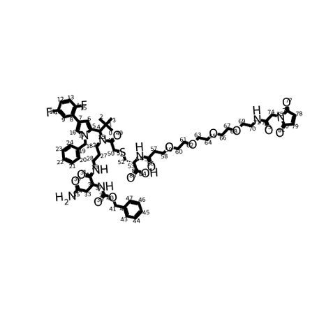 CC(C)(C)C(c1cc(-c2cc(F)ccc2F)cn1Cc1ccccc1)N(CCCNC(=O)C(CC(N)=O)NC(=O)OCc1ccccc1)C(=O)CSC[C@H](NC(=O)CCOCCOCCOCCOCCNC(=O)CN1C(=O)C=CC1=O)C(=O)O